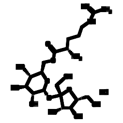 Cl.N=C(N)NCCC[C@H](N)C(=O)OC[C@H]1O[C@H](O[C@]2(CO)O[C@H](CO)[C@@H](O)[C@@H]2O)[C@H](O)[C@@H](O)[C@@H]1O